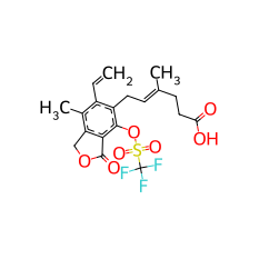 C=Cc1c(C)c2c(c(OS(=O)(=O)C(F)(F)F)c1C/C=C(\C)CCC(=O)O)C(=O)OC2